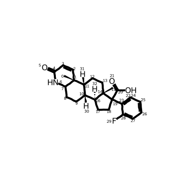 C[C@]12C=CC(=O)NC1CC[C@@H]1[C@H]2CC[C@@]2(C)[C@H]1CCC2(C(=O)O)c1ccccc1F